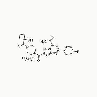 CC1(c2cc(-c3ccc(F)cc3)nn3cc(C(=O)N4CCN(C(=O)C5(O)CCC5)CC4(C)C)nc23)CC1